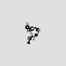 CN1C(=O)C2(CCN(Cc3cnn(C[C@H]4C[C@H](NC(=O)c5cc(C6CC6)no5)C4)c3)CC2)c2cc(Cl)ccc21